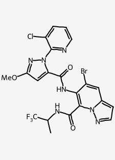 COc1cc(C(=O)Nc2c(Br)cc3ccnn3c2C(=O)NC(C)C(F)(F)F)n(-c2ncccc2Cl)n1